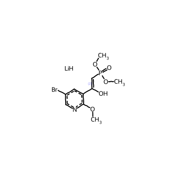 COc1ncc(Br)cc1/C(O)=C/P(=O)(OC)OC.[LiH]